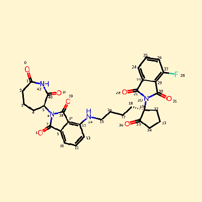 O=C1CCCC(N2C(=O)c3cccc(NCCCC[C@]4(N5C(=O)c6cccc(F)c6C5=O)CCCC4=O)c3C2=O)C(=O)N1